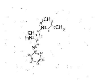 CCCN(CC)CC[C@H](CSc1ccccc1)NC